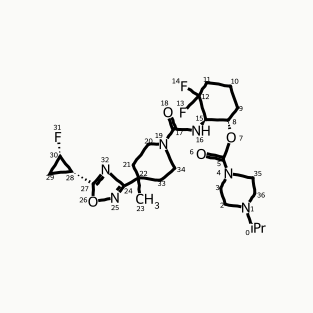 CC(C)N1CCN(C(=O)O[C@H]2CCCC(F)(F)[C@@H]2NC(=O)N2CCC(C)(c3noc([C@@H]4C[C@@H]4F)n3)CC2)CC1